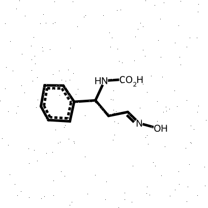 O=C(O)N[C](CC=NO)c1ccccc1